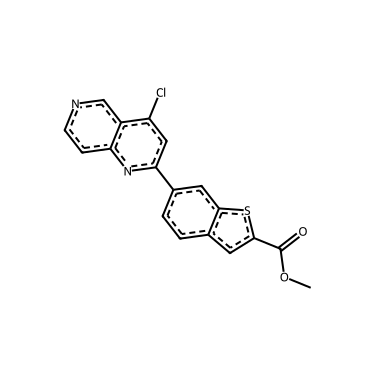 COC(=O)c1cc2ccc(-c3cc(Cl)c4cnccc4n3)cc2s1